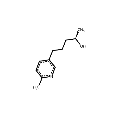 Cc1ccc(CCC[C@@H](C)O)cn1